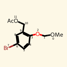 COCOc1ccc(Br)cc1COC(C)=O